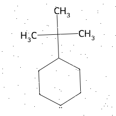 CC(C)(C)C1CC[C]CC1